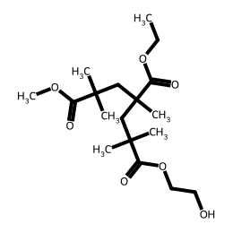 CCOC(=O)C(C)(CC(C)(C)C(=O)OC)CC(C)(C)C(=O)OCCO